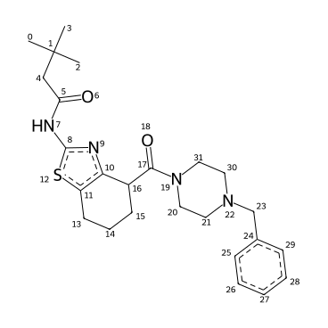 CC(C)(C)CC(=O)Nc1nc2c(s1)CCCC2C(=O)N1CCN(Cc2ccccc2)CC1